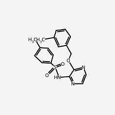 Cc1ccc(S(=O)(=O)Nc2nccnc2OCc2cccc(C)c2)cc1